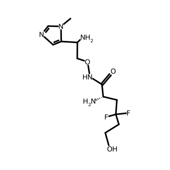 Cn1cncc1C(N)CONC(=O)[C@@H](N)CC(F)(F)CCO